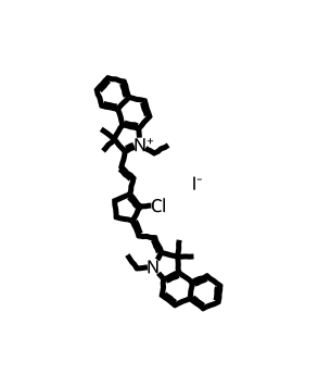 CCN1/C(=C\C=C2\CCC(/C=C/C3=[N+](CC)c4ccc5ccccc5c4C3(C)C)=C2Cl)C(C)(C)c2c1ccc1ccccc21.[I-]